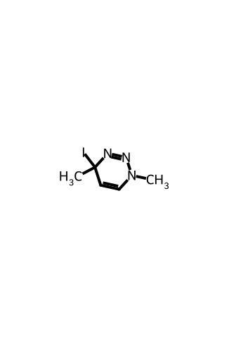 CN1C=CC(C)(I)N=N1